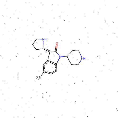 O=C1/C(=C2/CCCN2)c2cc([N+](=O)[O-])ccc2N1C1CCNCC1